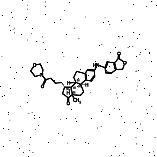 C[C@]12CC[C@@H]3c4ccc(Nc5ccc6c(c5)C(=O)OC6)cc4CC[C@H]3[C@@H]1[C@@H](CCCC(=O)N1CCOCC1)CC2=O